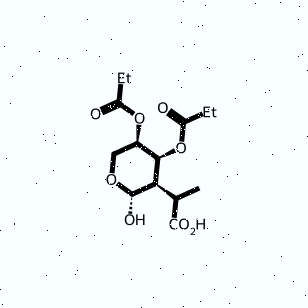 CCC(=O)O[C@H]1[C@@H](C(C)C(=O)O)[C@H](O)OC[C@H]1OC(=O)CC